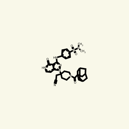 CN(C)S(=O)(=O)c1ccc(Nc2nn(C3(CC#N)CCN(C(=O)C45CC6CC(CC(C6)C4)C5)CC3)c3cc[nH]c(=O)c23)cc1